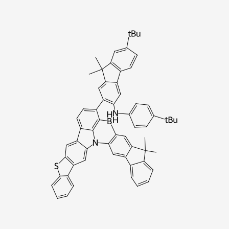 CC(C)(C)c1ccc(Nc2cc3c(cc2-c2ccc4c5cc6sc7ccccc7c6cc5n5c4c2Bc2cc4c(cc2-5)-c2ccccc2C4(C)C)C(C)(C)c2cc(C(C)(C)C)ccc2-3)cc1